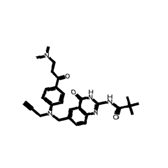 C#CCN(Cc1ccc2nc(NC(=O)C(C)(C)C)[nH]c(=O)c2c1)c1ccc(C(=O)CCN(C)C)cc1